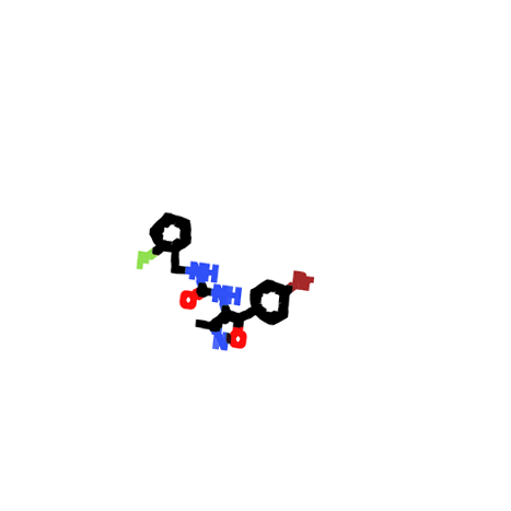 Cc1noc(-c2ccc(Br)cc2)c1NC(=O)NCc1ccccc1F